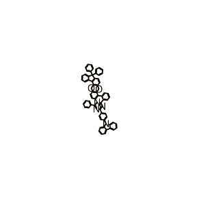 c1ccc(-c2nc(-c3ccc(-n4c5ccccc5c5ccccc54)cc3)nc(-c3ccccc3-c3cccc4c3Oc3ccc5c(c3O4)-c3ccccc3C5(c3ccccc3)c3ccccc3)n2)cc1